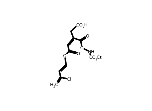 C=C(Cl)C=COC(=O)/C=C(/CC(=O)O)C(=O)ONC(=O)OCC